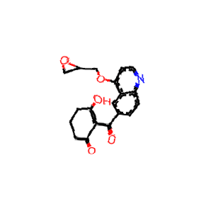 O=C1CCCC(O)=C1C(=O)c1ccc2nccc(OCC3CO3)c2c1